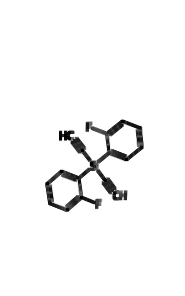 C#C[Si](C#C)(c1ccccc1F)c1ccccc1F